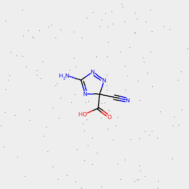 N#CC1(C(=O)O)N=NC(N)=N1